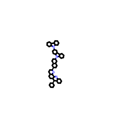 c1ccc(-c2c3ccccc3nc3c2ccc2ccc(-c4ccc5cc(-n6c7ccccc7c7cc(-n8c9ccccc9c9ccccc98)ccc76)ccc5c4)nc23)cc1